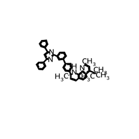 Cc1cc(C(C)(C)C)c2ccc3c(c2n1)N[C@](C)(c1ccc(-c2cccc(-c4nc(-c5ccccc5)cc(-c5ccccc5)n4)c2)cc1)C=C3